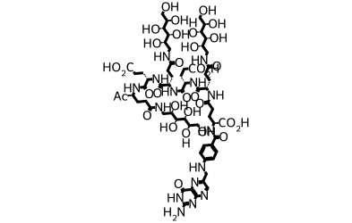 CC(=O)[C@H](CCC(=O)NC[C@H](O)[C@@H](O)[C@H](O)[C@H](O)CO)NC(=O)[C@H](CCC(=O)O)NC(=O)[C@H](CCC(=O)NC[C@H](O)[C@@H](O)[C@H](O)[C@H](O)CO)NC(=O)[C@H](CCC(=O)O)NC(=O)[C@H](CCC(=O)NC[C@H](O)[C@@H](O)[C@H](O)[C@H](O)CO)NC(=O)CC[C@H](NC(=O)c1ccc(NCc2cnc3nc(N)[nH]c(=O)c3n2)cc1)C(=O)O